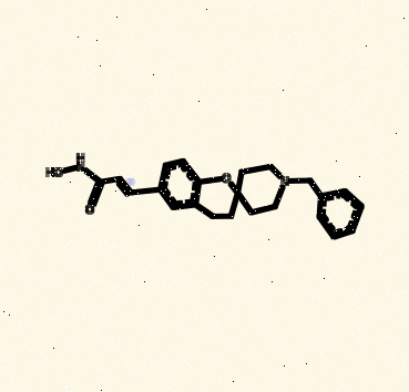 O=C(/C=C/c1ccc2c(c1)CCC1(CCN(Cc3ccccc3)CC1)O2)NO